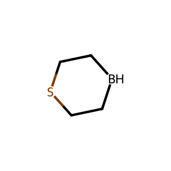 B1CCSCC1